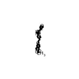 CS(=O)(=O)N1CCc2cc(OCCCC3CCN(c4nnn(CCN5CCOCC5)n4)CC3)ccc2C1